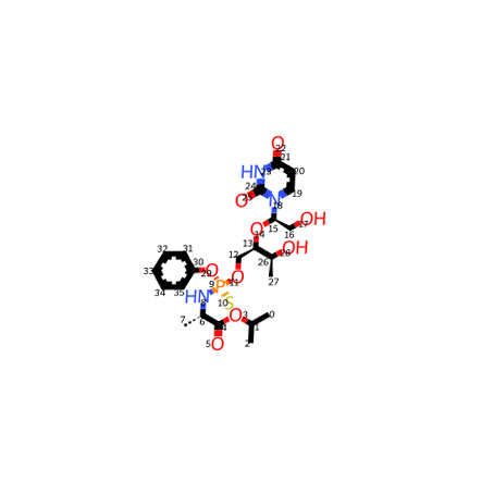 CC(C)OC(=O)[C@H](C)NP(=S)(OC[C@@H](O[C@H](CO)n1ccc(=O)[nH]c1=O)[C@H](C)O)Oc1ccccc1